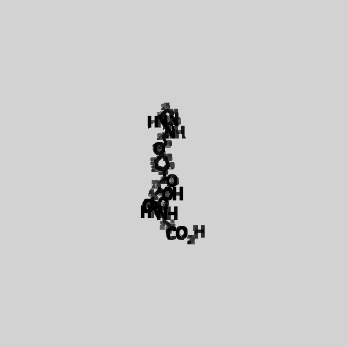 O=C(O)CCNNS(=O)(=O)CC(O)CC(=O)c1ccc(OCCNC2=NCCCN2)cc1